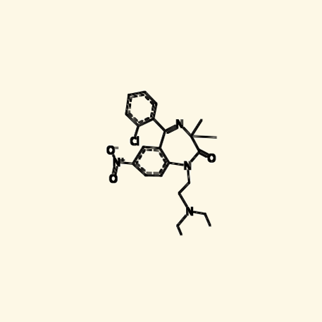 CCN(CC)CCN1C(=O)C(C)(C)N=C(c2ccccc2Cl)c2cc([N+](=O)[O-])ccc21